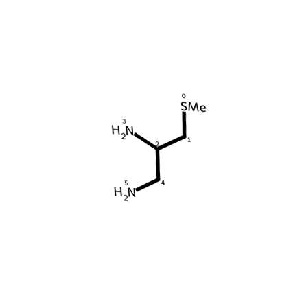 CSCC(N)CN